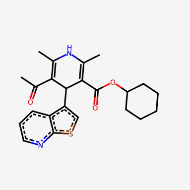 CC(=O)C1=C(C)NC(C)=C(C(=O)OC2CCCCC2)C1c1csc2ncccc12